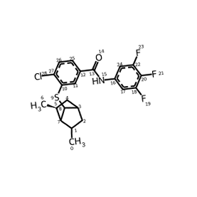 CC1CC2C[C@H](C)C1C2Sc1cc(C(=O)Nc2cc(F)c(F)c(F)c2)ccc1Cl